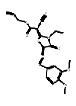 C=CCOC(=O)/C(C#N)=c1\sc(=C=Cc2ccc(OC)c(OC)c2)c(=O)n1CC